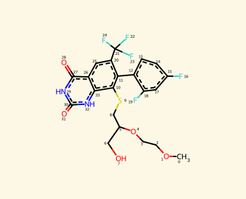 COCCOC(CO)CSc1c(-c2ccc(F)cc2F)c(C(F)(F)F)cc2c(=O)[nH]c(=O)[nH]c12